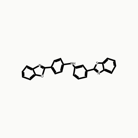 c1cc(Nc2ccc(-c3nc4ccccc4o3)cc2)cc(-c2nc3ccccc3s2)c1